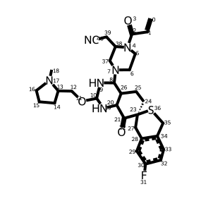 C=CC(=O)N1CCN(C2NC(OCC3CCCN3C)NC3C(=O)[C@]4(CCC32)Cc2cc(F)ccc2CS4)CC1CC#N